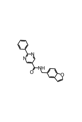 O=C(NCc1ccc2occc2c1)c1cnc(-c2ccccc2)nc1